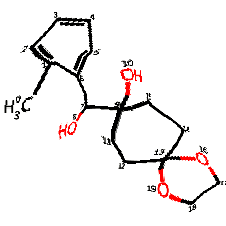 Cc1ccccc1C(O)C1(O)CCC2(CC1)OCCO2